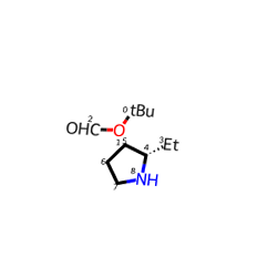 CC(C)(C)OC=O.CC[C@H]1CCCN1